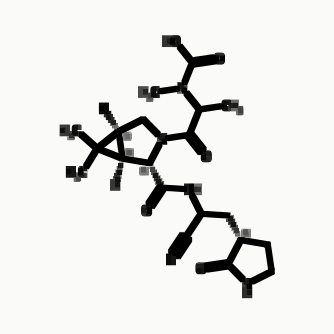 CC(C(=O)N1C[C@H]2[C@@H]([C@H]1C(=O)NC(C#N)C[C@@H]1CCNC1=O)C2(C)C)N(C)C(=O)O